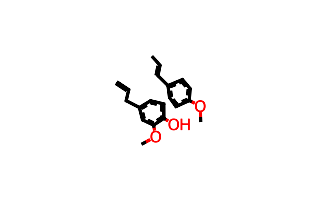 C=CCc1ccc(O)c(OC)c1.CC=Cc1ccc(OC)cc1